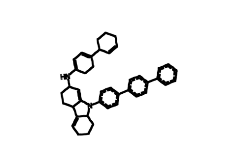 C1=CC(C2=CC=C(NC3C=C4C(CC3)C3=CCCCC3N4c3ccc(-c4ccc(-c5ccccc5)cc4)cc3)CC2)CCC1